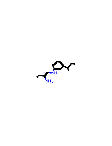 CC/C(N)=C/Nc1cccc(C(C)CC)c1